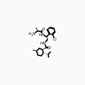 CC(C)[C@@H]1CC[C@@H](C)C[C@H]1C(=O)NC[C@@H](NC(=O)[C@H](C)N)c1ccccc1Cl